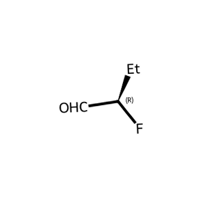 CC[C@@H](F)C=O